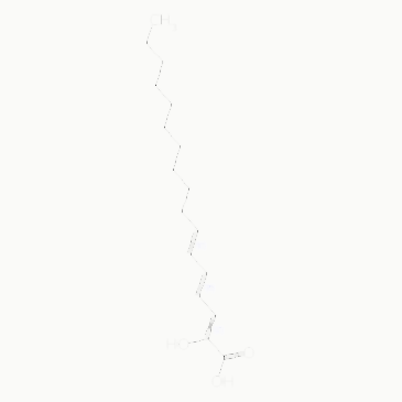 CCCCCCCCCC/C=C/C=C/C=C(\O)C(=O)O